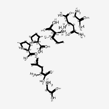 CC(C)C[C@H](N)C(=O)O.CC[C@H](C)[C@H](N)C(=O)O.NC(=O)C[C@H](N)C(=O)O.NCC(=O)O.NCC(=O)O.O=C(O)[C@@H]1CCCN1.O=C(O)[C@@H]1CCCN1